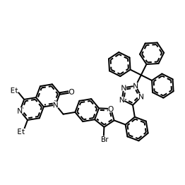 CCc1cc2c(ccc(=O)n2Cc2ccc3oc(-c4ccccc4-c4nnn(C(c5ccccc5)(c5ccccc5)c5ccccc5)n4)c(Br)c3c2)c(CC)n1